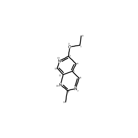 CCOc1cc2cnc(C)nc2cn1